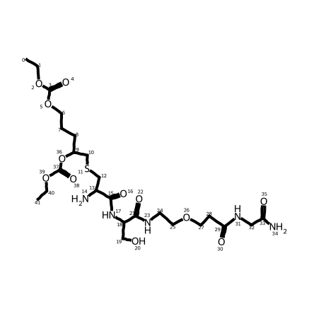 CCOC(=O)OCCCC(CSCC(N)C(=O)NC(CO)C(=O)NCCOCCC(=O)NCC(N)=O)OC(=O)OCC